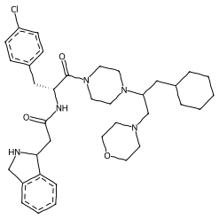 O=C(CC1NCc2ccccc21)N[C@H](Cc1ccc(Cl)cc1)C(=O)N1CCN(C(CC2CCCCC2)CN2CCOCC2)CC1